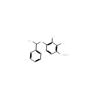 COc1ccc(SC(C(C)=O)c2ccccc2)c(Cl)c1Cl